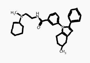 CC1CCc2c(cc(-c3ccccc3)n2-c2cccc(C(=O)NCCN(C)C3CCCCC3)c2)C1